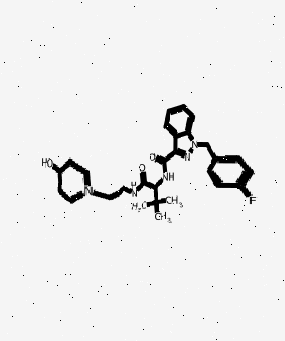 CC(C)(C)C(NC(=O)c1nn(Cc2ccc(F)cc2)c2ccccc12)C(=O)NCCN1CCC(O)CC1